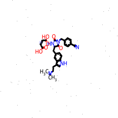 CN(C)CCc1c[nH]c2ccc(CC3NC(=O)N(Cc4ccc(C#N)cc4)C3=O)cc12.O=C(O)/C=C\C(=O)O